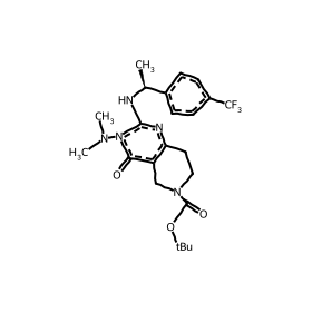 C[C@H](Nc1nc2c(c(=O)n1N(C)C)CN(C(=O)OC(C)(C)C)CC2)c1ccc(C(F)(F)F)cc1